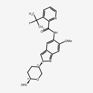 COc1cc2nn([C@@H]3CC[C@H](C=O)OC3)cc2cc1NC(=O)c1ncccc1C(C)(C)F